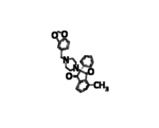 Cc1cccc2c1C(=O)[C@](c1ccccc1)(N1CCN(Cc3ccc4c(c3)OCO4)CC1)C2=O